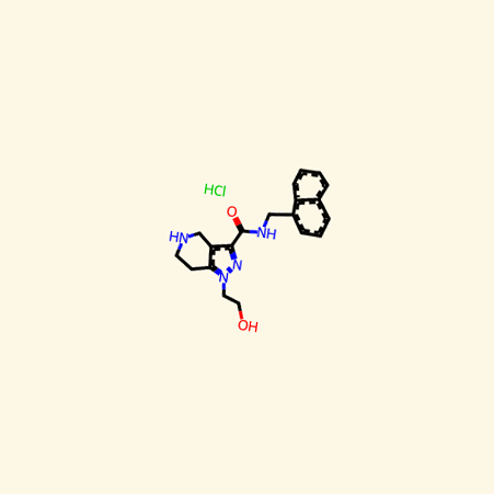 Cl.O=C(NCc1cccc2ccccc12)c1nn(CCO)c2c1CNCC2